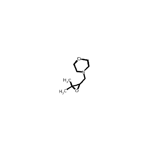 CC1(C)OC1CN1CCOCC1